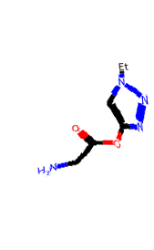 CCn1cc(OC(=O)CN)nn1